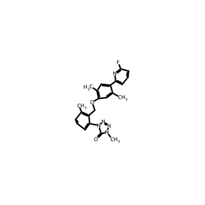 Cc1cc(-c2cccc(F)n2)c(C)cc1OCc1c(C)cccc1-n1nnn(C)c1=O